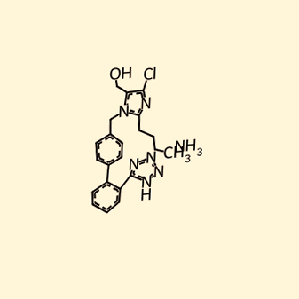 CCCCc1nc(Cl)c(CO)n1Cc1ccc(-c2ccccc2-c2nnn[nH]2)cc1.N